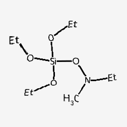 CCO[Si](OCC)(OCC)ON(C)CC